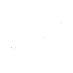 CC/N=C\N=C\C(O)NC